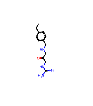 CCc1ccc(CNCC(=O)CNC(=N)N)cc1